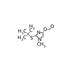 Cn1cc(OC=O)nc1SC(C)(C)C